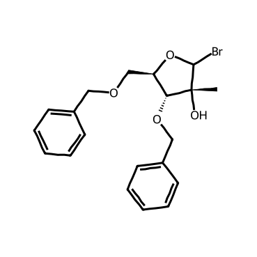 C[C@]1(O)C(Br)O[C@H](COCc2ccccc2)[C@H]1OCc1ccccc1